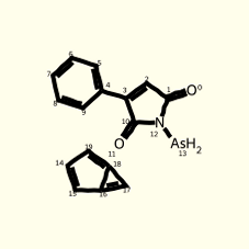 O=C1C=C(c2ccccc2)C(=O)N1[AsH2].c1cc2cc-2c1